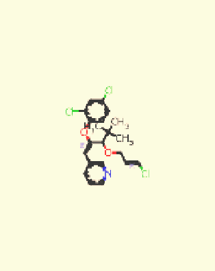 CC(C)(C)C(OC/C=C/Cl)/C(=C\c1cccnc1)Oc1ccc(Cl)cc1Cl